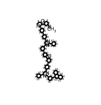 COc1ccc2oc3ccnc(-c4ccc(-c5ccc(-c6cc(-c7cccc(-c8ccc9c(c8)oc8ccc(-c%10ccc(-c%11cc(-c%12ccccc%12)nc(-c%12cccc(-c%13cc%14ccccc%14c%14ccccc%13%14)c%12)n%11)cc%10)cc89)c7)nc(-c7ccccc7)n6)cc5)cc4)c3c2c1